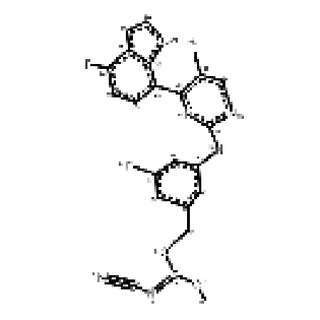 CO/S(=N/C#N)OCc1cc(F)cc(Nc2ncc(F)c(-c3ccc(F)c4ccoc34)n2)c1